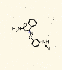 N#CNc1cccc(O/N=C(\CC(N)=O)c2ccccc2)c1